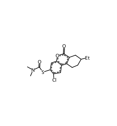 CCC1CCc2c(c(=O)oc3cc(SC(=O)N(C)C)c(Cl)cc23)C1